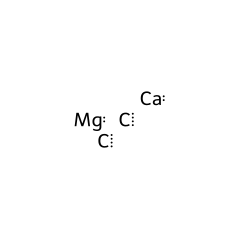 [C].[C].[Ca].[Mg]